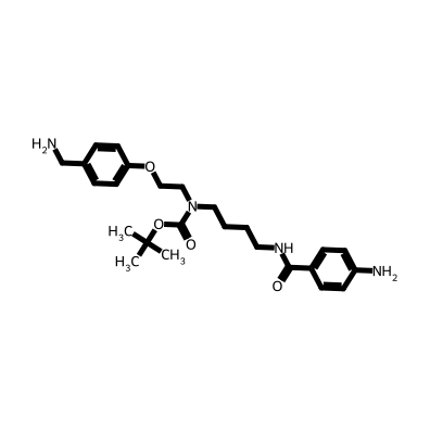 CC(C)(C)OC(=O)N(CCCCNC(=O)c1ccc(N)cc1)CCOc1ccc(CN)cc1